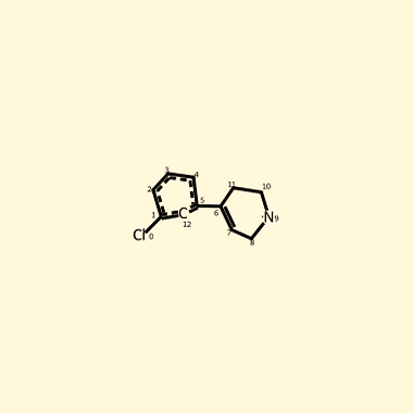 Clc1cccc(C2=CC[N]CC2)c1